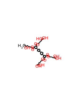 CCC(O)CCCCOC(=O)c1cc(C(=O)OCCCCC(O)CO)cc(-c2ccc(-c3ccc(-c4cc(C(=O)OCCCCC(O)CO)cc(C(=O)OCCCCC(O)CO)c4)cc3)cc2)c1